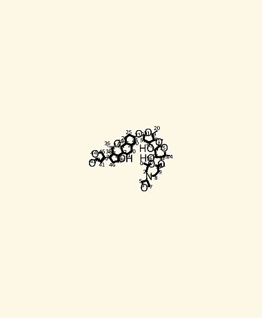 CC1CN(C2COC2)CCC(O[C@@H]2[C@H](C)O[C@@H](O[C@@H]3[C@H](C)O[C@@H](O[C@H]4CC[C@@]5(C)C(CCC6C5O[C@@H](C)[C@]5(C)[C@@H](C7=CC(=O)OC7)CC[C@]65O)C4)C[C@@H]3O)C[C@@H]2O)O1